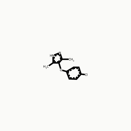 Cc1n[nH]c(C)c1Oc1ccc(Cl)cc1